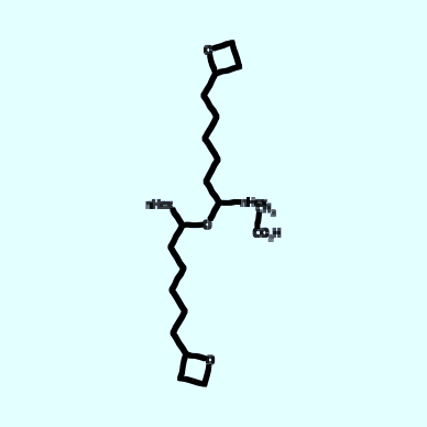 CC(=O)O.CCCCCCC(CCCCCC1CCO1)OC(CCCCCC)CCCCCC1CCO1